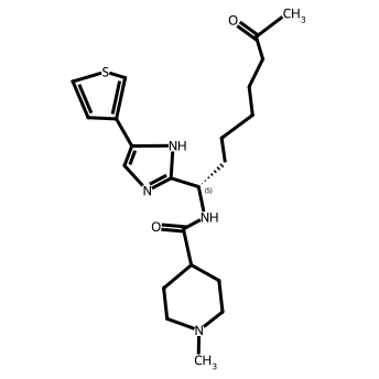 CC(=O)CCCCC[C@H](NC(=O)C1CCN(C)CC1)c1ncc(-c2ccsc2)[nH]1